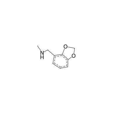 CNCc1cccc2c1OCO2